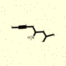 CC#CCC(N)CC(C)C